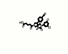 CN1C(=O)N(c2cc(Cl)cc(Cl)c2)C(=O)C12CN(C(=O)CCCC(=O)O)CC2c1ccc(C#N)cc1